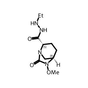 CCNNC(=O)[C@@H]1CC[C@@H]2CN1C(=O)N2OC